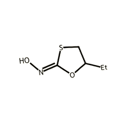 CCC1CSC(=NO)O1